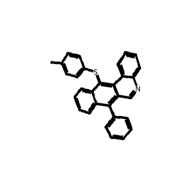 Cc1ccc(Sc2c3ccccc3c(-c3ccccc3)c3cnc4ccccc4c23)cc1